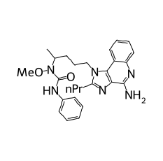 CCCc1nc2c(N)nc3ccccc3c2n1CCCC(C)N(OC)C(=O)Nc1ccccc1